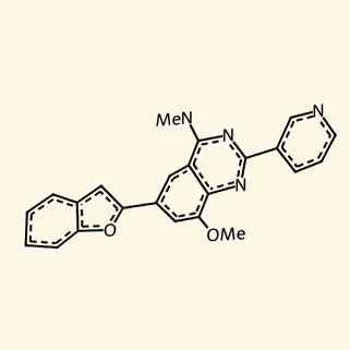 CNc1nc(-c2cccnc2)nc2c(OC)cc(-c3cc4ccccc4o3)cc12